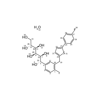 Cc1ccc([C@H](O)[C@H](O)[C@@H](O)[C@H](O)[C@H](O)CO)cc1Cc1ccc(-c2ccc(F)cc2)s1.O